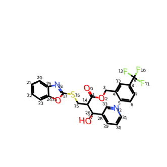 O=C(OCc1cccc(C(F)(F)F)c1)C(CSc1nc2ccccc2o1)C(O)c1cccnc1